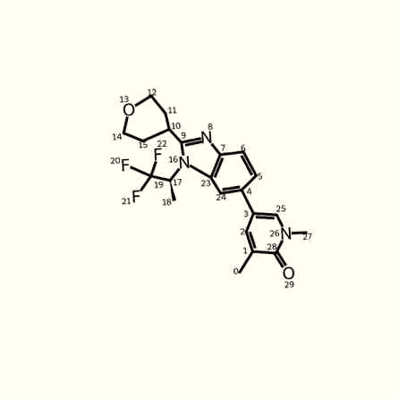 Cc1cc(-c2ccc3nc(C4CCOCC4)n([C@@H](C)C(F)(F)F)c3c2)cn(C)c1=O